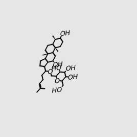 CC(C)=CCCC(OCC1OC(CO)C(O)C(O)[C@@H]1O)C1CCC2C1[C@H](O)CC1[C@@]2(C)CCC2[C@@H](C)C(O)CC[C@@]21C